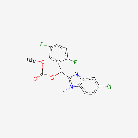 Cn1c(C(OC(=O)OC(C)(C)C)c2cc(F)ccc2F)nc2cc(Cl)ccc21